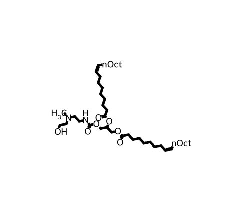 CCCCCCCC/C=C\CCCCCCCC(=O)OCC(COC(=O)NCCN(C)CCO)OC(=O)CCCCCCC/C=C\CCCCCCCC